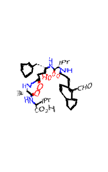 CC[C@H](C)[C@H](NC(=O)C[C@H](O)[C@H](Cc1ccccc1)NC(=O)[C@@H](NC(=O)Cc1ccc2ccccc2c1C=O)C(C)C)C(=O)N[C@H](C(=O)O)C(C)C